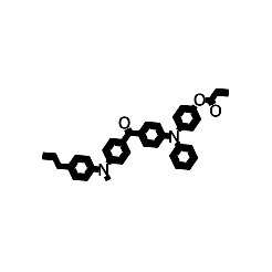 C=CCc1ccc(N(C)c2ccc(C(=O)c3ccc(N(c4ccccc4)c4ccc(OC(=O)C=C)cc4)cc3)cc2)cc1